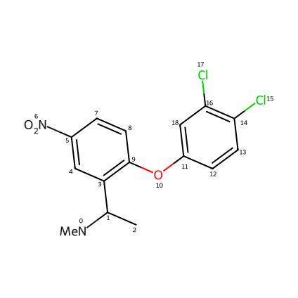 CNC(C)c1cc([N+](=O)[O-])ccc1Oc1ccc(Cl)c(Cl)c1